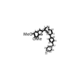 COc1cc2cc(-c3cnc4ccc(-c5ccc(CN6CCN(C)CC6)cc5)nn34)sc2cc1OC